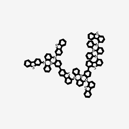 c1ccc2c(c1)B1c3cc(-c4ccc5c(c4)sc4c(N6c7ccccc7B7c8cc(-c9cccc%10c9sc9cccc(N%11c%12ccccc%12B%12c%13ccccc%13N(c%13cccc%14sc%15ccccc%15c%13%14)c%13cccc%11c%13%12)c9%10)ccc8N(c8cccc9c8sc8ccccc89)c8cccc6c87)cccc45)ccc3N(c3ccc4c(c3)sc3ccccc34)c3cccc(c31)N2c1ccc2c(c1)sc1ccccc12